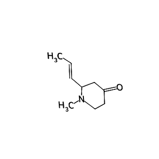 CC=CC1CC(=O)CCN1C